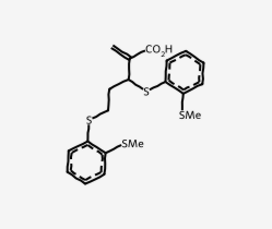 C=C(C(=O)O)C(CCSc1ccccc1SC)Sc1ccccc1SC